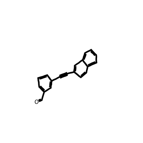 O=Cc1cccc(C#Cc2ccc3ccccc3c2)c1